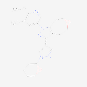 COc1ncc(-n2nc(-c3cnn(C4CCCCO4)c3)c3c2CCOCC3)cc1C#N